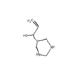 C=CC(O)N1CNCNC1